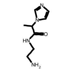 CC(C(=O)NCCN)n1ccnc1